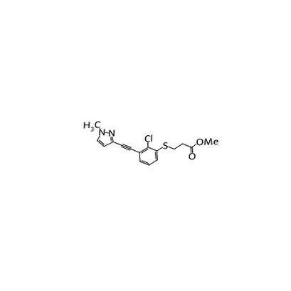 COC(=O)CCSc1cccc(C#Cc2ccn(C)n2)c1Cl